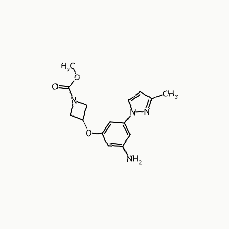 COC(=O)N1CC(Oc2cc(N)cc(-n3ccc(C)n3)c2)C1